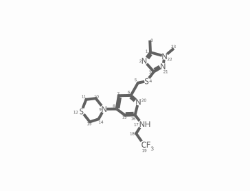 Cc1nc(SCc2cc(N3CCSCC3)cc(NCC(F)(F)F)n2)nn1C